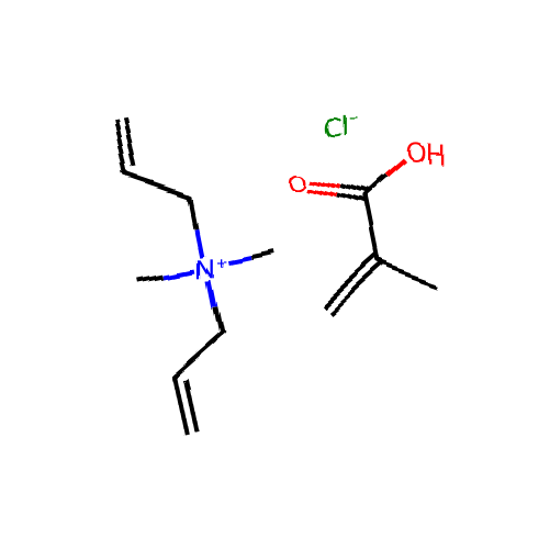 C=C(C)C(=O)O.C=CC[N+](C)(C)CC=C.[Cl-]